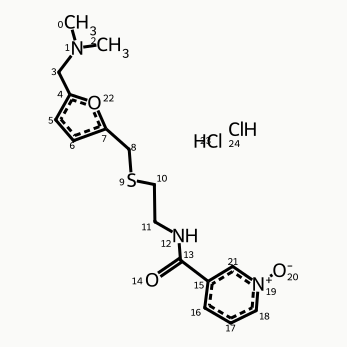 CN(C)Cc1ccc(CSCCNC(=O)c2ccc[n+]([O-])c2)o1.Cl.Cl